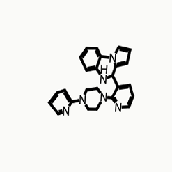 c1ccc(N2CCN(c3ncccc3C3Nc4ccccc4-n4cccc43)CC2)nc1